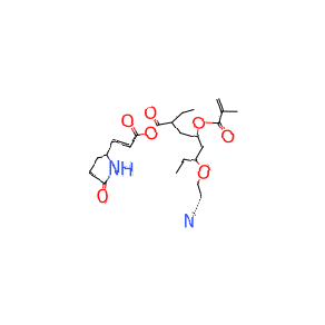 C=C(C)C(=O)OC(CC(CC)OCCC#N)CC(CC)C(=O)OC(=O)/C=C/C1CCC(=O)N1